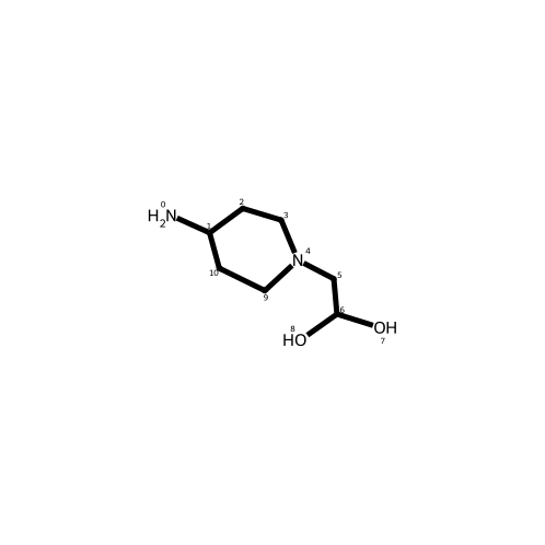 NC1CCN(CC(O)O)CC1